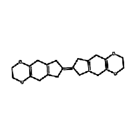 C1COC2=C(CC3=C(CC(=C4CC5=C(C4)CC4=C(C5)OCCO4)C3)C2)O1